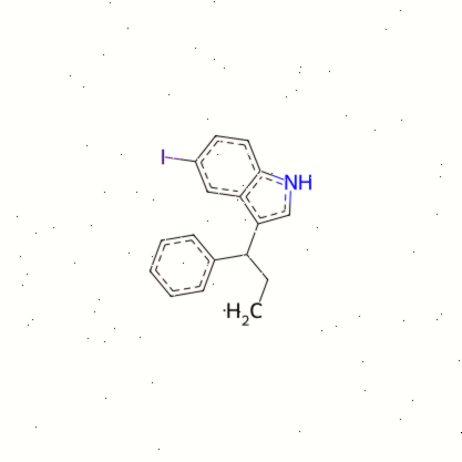 [CH2]CC(c1ccccc1)c1c[nH]c2ccc(I)cc12